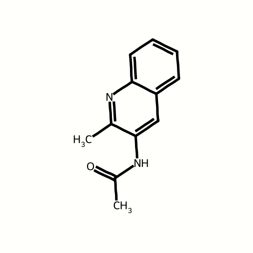 CC(=O)Nc1cc2ccccc2nc1C